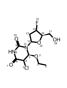 CCO[C@H]1C(Cl)C(=O)NC(=O)N1[C@H]1CC(F)[C@@H](CO)O1